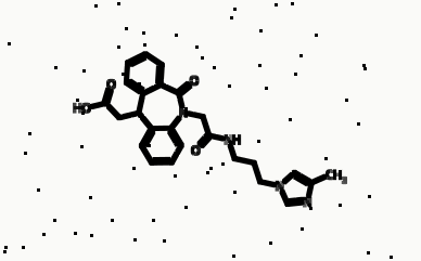 Cc1cn(CCCNC(=O)CN2C(=O)c3ccccc3C(CC(=O)O)c3ccccc32)cn1